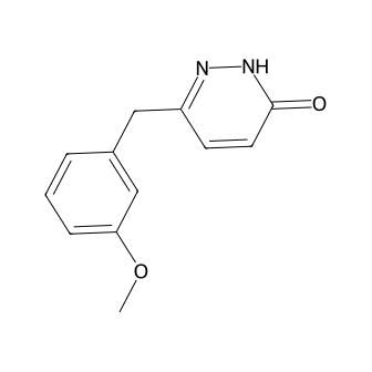 COc1cccc(Cc2ccc(=O)[nH]n2)c1